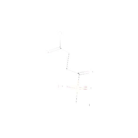 CP(=O)(O)C(=O)CCC(=O)[O-].[Li+]